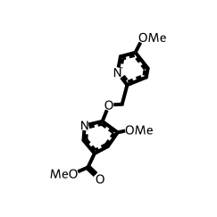 COC(=O)c1cnc(OCc2ccc(OC)cn2)c(OC)c1